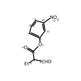 CCC(C=O)C(=O)Oc1cccc([N+](=O)[O-])c1